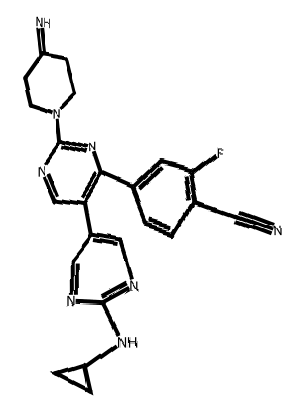 N#Cc1ccc(-c2nc(N3CCC(=N)CC3)ncc2-c2cnc(NC3CC3)nc2)cc1F